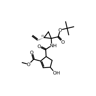 C=C[C@@H]1CC1(NC(=O)C1CC(O)C=C1C(=O)OC)C(=O)OC(C)(C)C